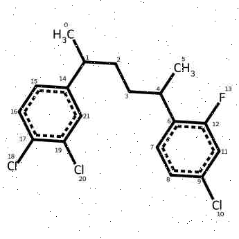 CC(CCC(C)c1ccc(Cl)cc1F)c1ccc(Cl)c(Cl)c1